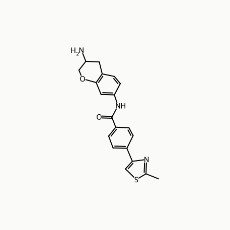 Cc1nc(-c2ccc(C(=O)Nc3ccc4c(c3)OCC(N)C4)cc2)cs1